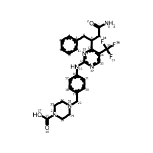 NC(=O)CC(Cc1ccccc1)c1nc(Nc2ccc(CN3CCN(C(=O)O)CC3)cc2)ncc1C(F)(F)F